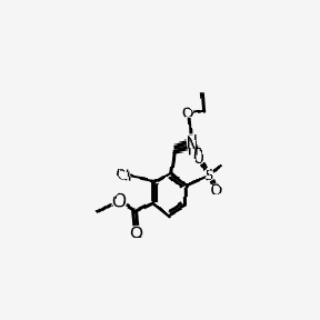 CCON=Cc1c(S(C)(=O)=O)ccc(C(=O)OC)c1Cl